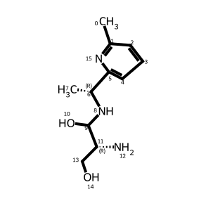 Cc1cccc([C@@H](C)NC(O)[C@H](N)CO)n1